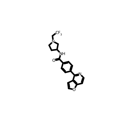 O=C(NC1CCN(CC(F)(F)F)C1)c1ccc(-c2nccc3occc23)cc1